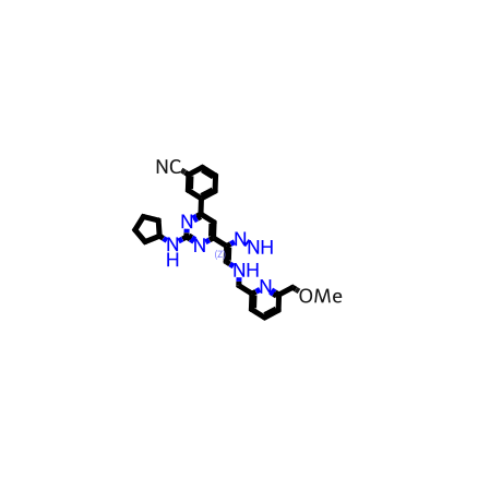 COCc1cccc(CN/C=C(\N=N)c2cc(-c3cccc(C#N)c3)nc(NC3CCCC3)n2)n1